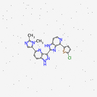 Cc1ncc(-c2ccc3[nH]nc(-c4nc5c(-c6ccc(Cl)s6)nccc5[nH]4)c3n2)n1C